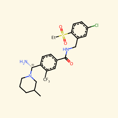 CCS(=O)(=O)c1ccc(Cl)cc1CNC(=O)c1ccc([C@@H](N)N2CCCC(C)C2)c(C(F)(F)F)c1